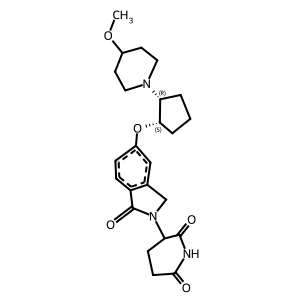 COC1CCN([C@@H]2CCC[C@@H]2Oc2ccc3c(c2)CN(C2CCC(=O)NC2=O)C3=O)CC1